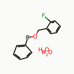 Fc1ccccc1CO[B]c1ccccc1.O.O